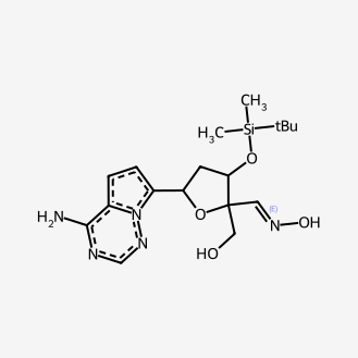 CC(C)(C)[Si](C)(C)OC1CC(c2ccc3c(N)ncnn23)OC1(/C=N/O)CO